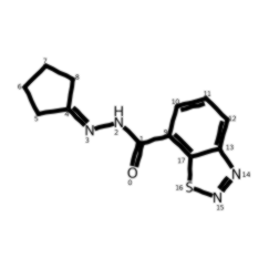 O=C(NN=C1CCCC1)c1cccc2nnsc12